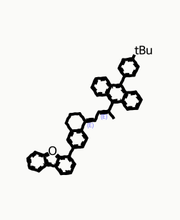 C/C(=C\C=C1/CCCc2cc(-c3cccc4c3oc3ccccc34)ccc21)c1c2ccccc2c(-c2ccc(C(C)(C)C)cc2)c2ccccc12